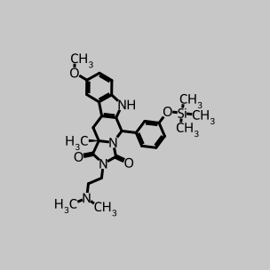 COc1ccc2[nH]c3c(c2c1)C[C@@]1(C)C(=O)N(CCN(C)C)C(=O)N1C3c1cccc(O[Si](C)(C)C)c1